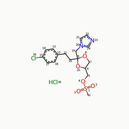 CS(=O)(=O)OCC1COC(CCc2ccc(Cl)cc2)(Cn2ccnc2)O1.Cl